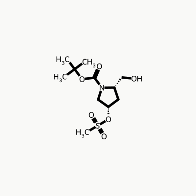 CC(C)(C)OC(=O)N1C[C@@H](OS(C)(=O)=O)C[C@H]1CO